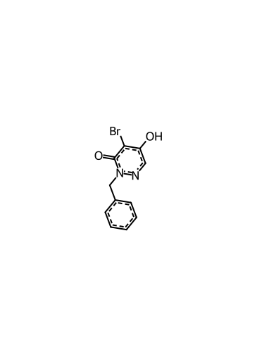 O=c1c(Br)c(O)cnn1Cc1ccccc1